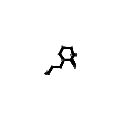 [NH]CCN1CCCNC1=O